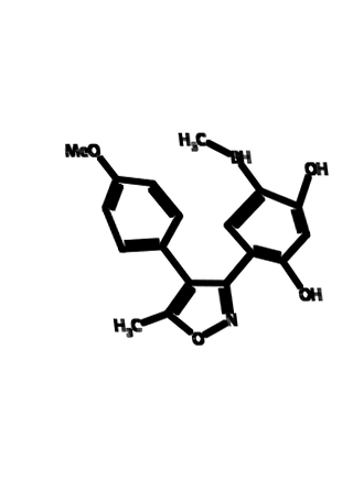 CBc1cc(-c2noc(C)c2-c2ccc(OC)cc2)c(O)cc1O